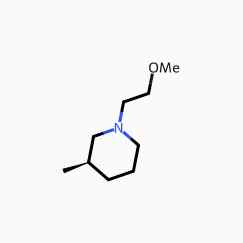 COCCN1CCC[C@@H](C)C1